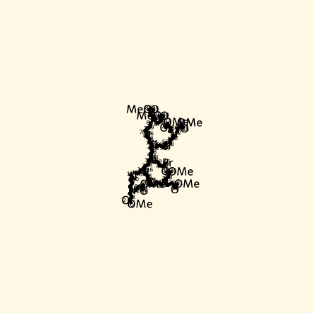 COC(=O)CCN(CCC[Si](C)(C)CCC[Si](C)(CCC[Si](C)(C)CCCN(CCC(=O)OC)CCC(=O)OC)CCC[Si](C)(CCCCBr)CCC[Si](C)(CCC[Si](C)(C)CCCN(CCC(=O)OC)CCC(=O)OC)CCC[Si](C)(C)CCCN(CCC(=O)OC)CCC(=O)OC)CCC(=O)OC